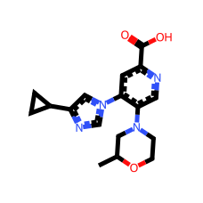 CC1CN(c2cnc(C(=O)O)cc2-n2cnc(C3CC3)c2)CCO1